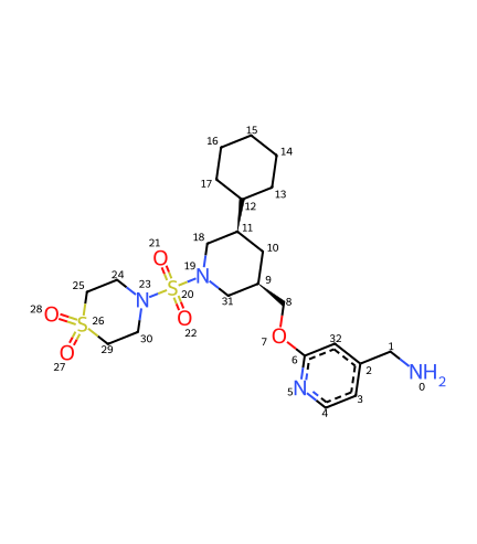 NCc1ccnc(OC[C@@H]2C[C@H](C3CCCCC3)CN(S(=O)(=O)N3CCS(=O)(=O)CC3)C2)c1